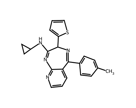 Cc1ccc(C2=NC(c3cccs3)C(NC3CC3)=Nc3ncccc32)cc1